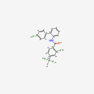 O=C(Nc1ccccc1-c1ccc(F)cc1)c1ccc(C(F)(F)F)cc1F